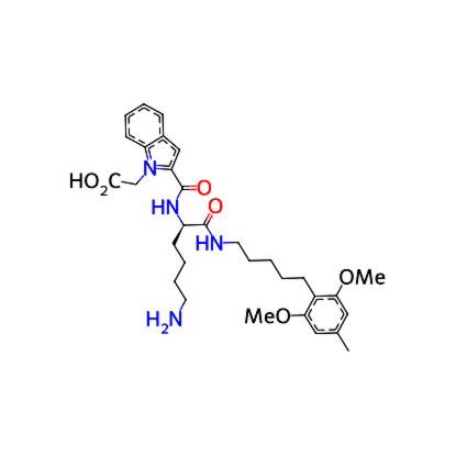 COc1cc(C)cc(OC)c1CCCCCNC(=O)[C@@H](CCCCN)NC(=O)c1cc2ccccc2n1CC(=O)O